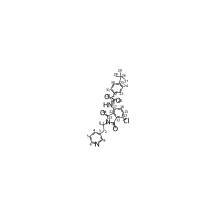 CC(Cc1cccnc1)N1C(=O)c2c(Cl)ccc(NS(=O)(=O)c3ccc(C(C)(C)C)cc3)c2C1=O